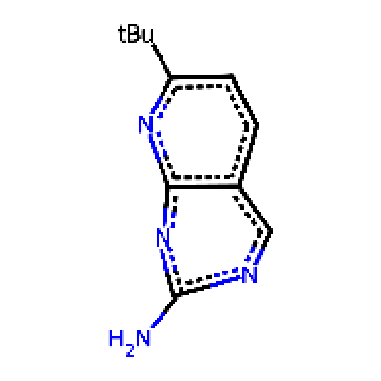 CC(C)(C)c1ccc2cnc(N)nc2n1